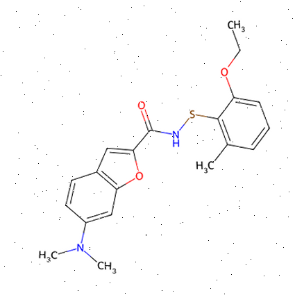 CCOc1cccc(C)c1SNC(=O)c1cc2ccc(N(C)C)cc2o1